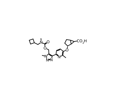 Cc1nc(-c2nnn(C)c2COC(=O)N(C)CC2CCC2)ccc1O[C@H]1CCC2C(C(=O)O)C21